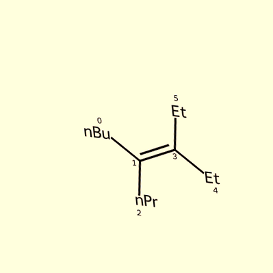 CCCCC(CCC)=C(CC)CC